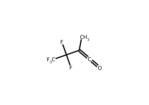 CC(=C=O)C(F)(F)C(F)(F)F